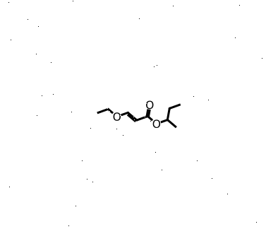 CCO/C=C/C(=O)OC(C)CC